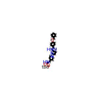 CC(C)(C)OC(=O)NCC1CCN(c2ccc3nc(-c4ccc(OCc5ccccc5)cc4)[nH]c3n2)CC1